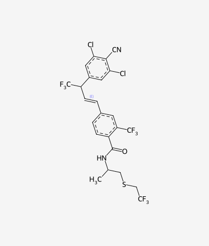 CC(CSCC(F)(F)F)NC(=O)c1ccc(/C=C/C(c2cc(Cl)c(C#N)c(Cl)c2)C(F)(F)F)cc1C(F)(F)F